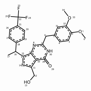 COc1ccc(Cc2nc3c(c(CO)nn3C(C)c3ccc(C(F)(F)F)cc3)c(=O)[nH]2)cc1OC